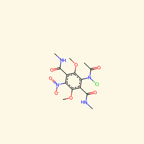 CNC(=O)c1c(OC)c([N+](=O)[O-])c(C(=O)NC)c(OC)c1N(Cl)C(C)=O